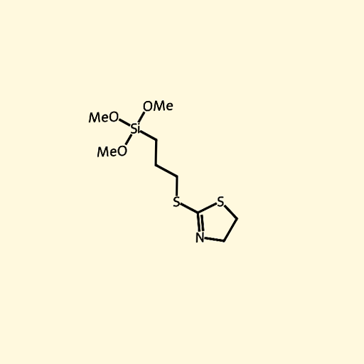 CO[Si](CCCSC1=NCCS1)(OC)OC